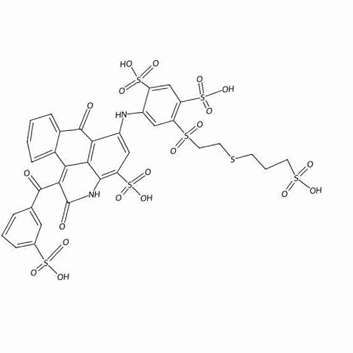 O=C(c1cccc(S(=O)(=O)O)c1)c1c2c3c(c(Nc4cc(S(=O)(=O)CCSCCCS(=O)(=O)O)c(S(=O)(=O)O)cc4S(=O)(=O)O)cc(S(=O)(=O)O)c3[nH]c1=O)C(=O)c1ccccc1-2